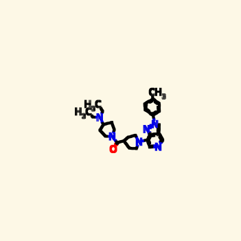 CCN(CC)C1CCN(C(=O)C2CCN(c3cncc4cn(-c5ccc(C)cc5)nc34)CC2)CC1